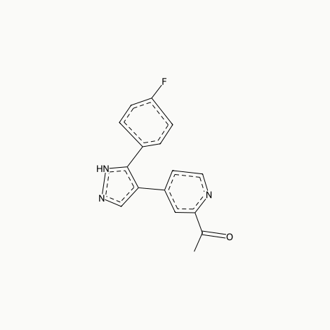 CC(=O)c1cc(-c2cn[nH]c2-c2ccc(F)cc2)ccn1